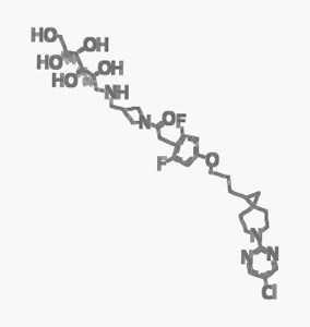 O=C(Cc1c(F)cc(OCCCC2CC23CCN(c2ncc(Cl)cn2)CC3)cc1F)N1CC(CNC[C@H](O)[C@@H](O)[C@H](O)[C@H](O)CO)C1